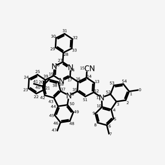 CC1=CC2c3cc(C)ccc3N(c3cc(C#N)c(-c4nc(-c5ccccc5)nc(-c5ccccc5)n4)c(-n4c5ccc(C)cc5c5cc(C)ccc54)c3)C2C=C1